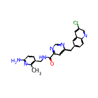 Cc1nc(N)ccc1CNC(=O)c1cc(Cc2ccc3ncc(Cl)cc3c2)ncn1